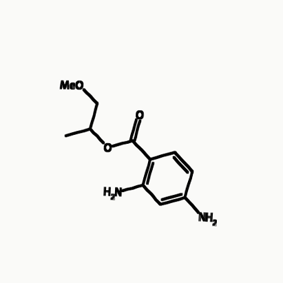 COCC(C)OC(=O)c1ccc(N)cc1N